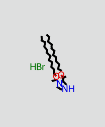 Br.CCCCCCCCCCCCOC(C)C1CNCCN1C(C)OCCCCCCCCCCCC